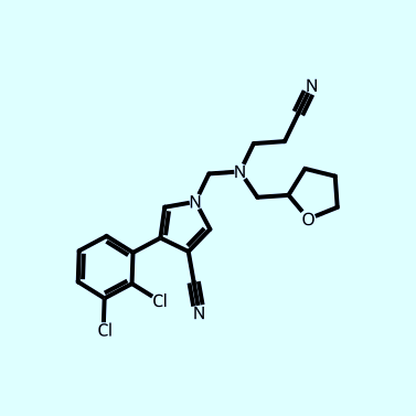 N#CCCN(CC1CCCO1)Cn1cc(C#N)c(-c2cccc(Cl)c2Cl)c1